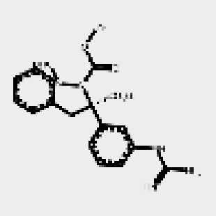 CCOC(=O)[C@@](Cc1ccccc1)(c1cccc(NC(=N)N)c1)N(NC=O)C(=O)OC(C)C